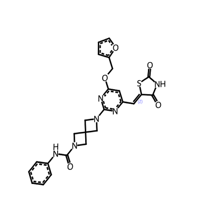 O=C1NC(=O)/C(=C/c2cc(OCc3ccco3)nc(N3CC4(CN(C(=O)Nc5ccccc5)C4)C3)n2)S1